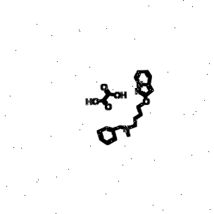 CN(CCCCOc1cc2ccccn2n1)Cc1ccccc1.O=C(O)C(=O)O